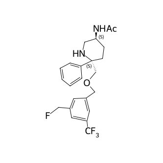 CC(=O)N[C@H]1CC[C@@](COCc2cc(CF)cc(C(F)(F)F)c2)(c2ccccc2)NC1